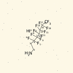 I.NCCC(F)(F)C(F)(F)C(F)(F)C(F)(F)C(F)(F)C(F)(F)F